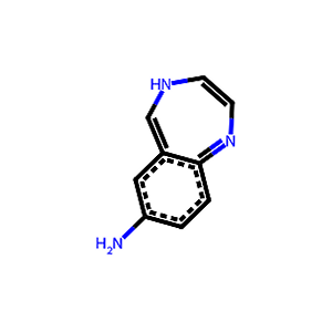 Nc1ccc2c(c1)=CNC=CN=2